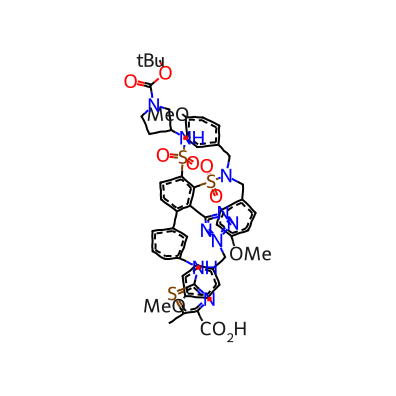 COc1ccc(CN(Cc2ccc(OC)cc2)S(=O)(=O)c2c(S(=O)(=O)NC3CCN(C(=O)OC(C)(C)C)C3)ccc(-c3cccc(Nc4nc(C(=O)O)c(C)s4)c3)c2-c2nnn(Cc3ccc(OC)cc3)n2)cc1